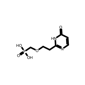 O=c1ccnc(CCOCP(=O)(O)O)[nH]1